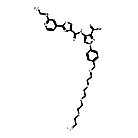 NCCOCCOCCOCCOCc1ccc(-n2cc(NC(=O)c3coc(-c4ccnc(NCC(F)(F)F)c4)n3)c(C(N)=O)n2)cc1